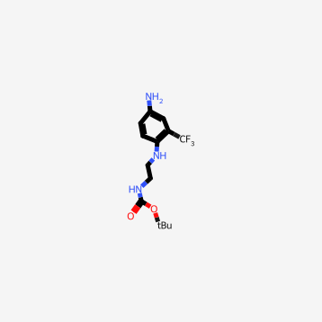 CC(C)(C)OC(=O)NCCNc1ccc(N)cc1C(F)(F)F